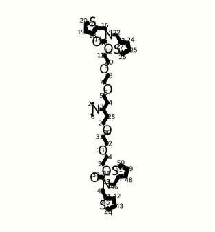 CN(C)C(CCOCCOCCOC(=O)N(Cc1cccs1)Cc1cccs1)CCOCCOCCOC(=O)N(Cc1cccs1)Cc1cccs1